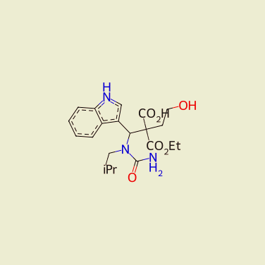 CCOC(=O)C(CCO)(C(=O)O)C(c1c[nH]c2ccccc12)N(CC(C)C)C(N)=O